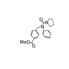 COC(=O)c1ccc(CN(C(=O)N2CCCC2)c2ccccc2)cc1